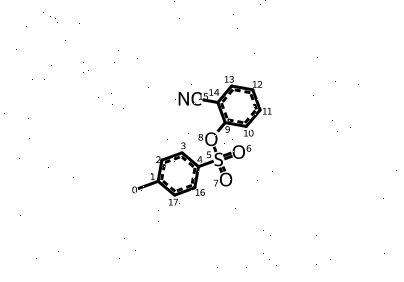 Cc1ccc(S(=O)(=O)Oc2ccccc2C#N)cc1